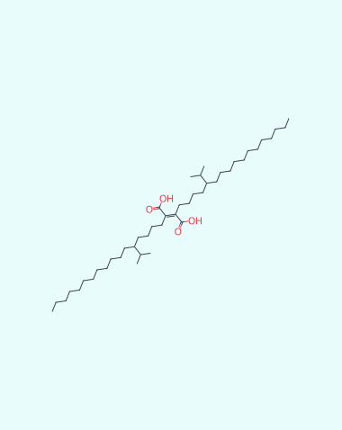 CCCCCCCCCCCCC(CCCCC(C(=O)O)=C(CCCCC(CCCCCCCCCCCC)C(C)C)C(=O)O)C(C)C